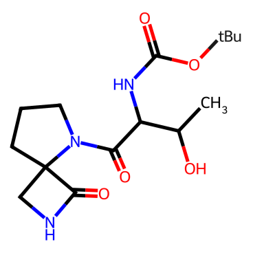 CC(O)C(NC(=O)OC(C)(C)C)C(=O)N1CCCC12CNC2=O